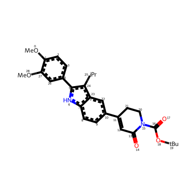 COc1ccc(-c2[nH]c3ccc(C4=CC(=O)N(C(=O)OC(C)(C)C)CC4)cc3c2C(C)C)cc1OC